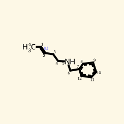 C/C=C/CCNCc1ccccc1